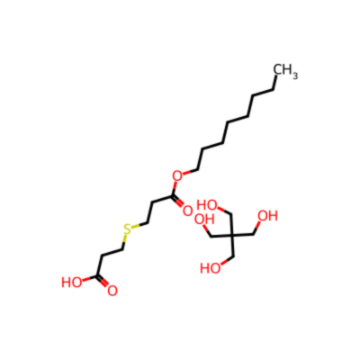 CCCCCCCCOC(=O)CCSCCC(=O)O.OCC(CO)(CO)CO